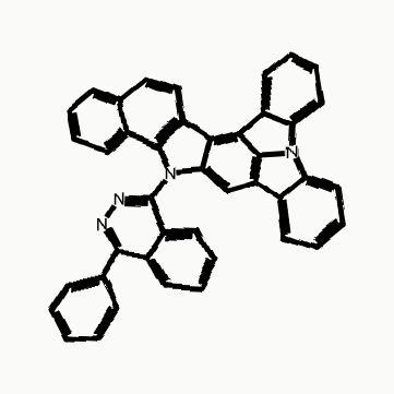 c1ccc(-c2nnc(-n3c4cc5c6ccccc6n6c7ccccc7c(c4c4ccc7ccccc7c43)c56)c3ccccc23)cc1